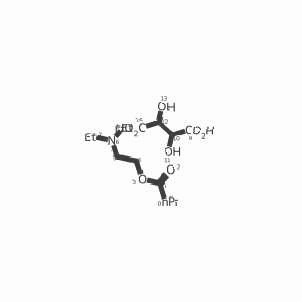 CCCC(=O)OCCN(CC)CC.O=C(O)C(O)C(O)C(=O)O